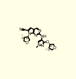 C[C@H]1COC[C@@H]1Oc1nn(C)cc1Nc1ncc2cc(C#N)n([C@H]3COC[C@@H]3C)c2n1